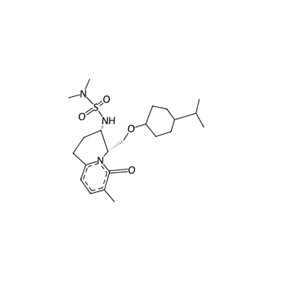 Cc1ccc2n(c1=O)[C@@H](COC1CCC(C(C)C)CC1)[C@@H](NS(=O)(=O)N(C)C)CC2